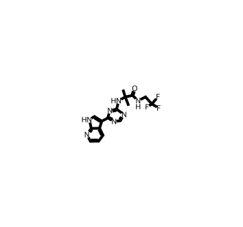 CC(C)(Nc1ncnc(-c2c[nH]c3ncccc23)n1)C(=O)NCC(F)(F)F